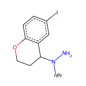 CCCN(N)C1CCOc2ccc(I)cc21